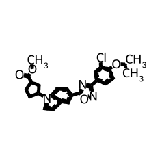 COC(=O)C1CCC(n2ccc3cc(-c4nc(-c5ccc(OC(C)C)c(Cl)c5)no4)ccc32)C1